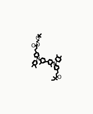 CCC(C)(C)C(=O)CCc1ccc(N(c2ccc(C)c(C)c2)c2ccc(-c3ccc(N(c4ccc(CCC(=O)OCCOC(C)(C)C)cc4)c4ccc(C)c(C)c4)c(C)c3)cc2C)cc1